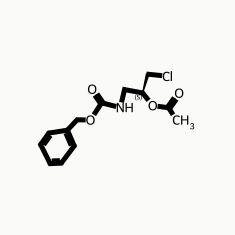 CC(=O)O[C@H](CCl)CNC(=O)OCc1ccccc1